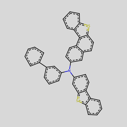 c1ccc(-c2cccc(N(c3ccc4c(ccc5sc6ccccc6c54)c3)c3ccc4c(c3)sc3ccccc34)c2)cc1